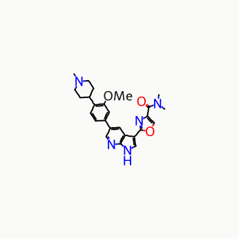 COc1cc(-c2cnc3[nH]cc(-c4nc(C(=O)N(C)C)co4)c3c2)ccc1C1CCN(C)CC1